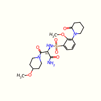 COc1c(N2CCCCC2=O)cccc1S(=O)(=O)N[C@@H](C(N)=O)C(=O)N1CCC(OC)CC1